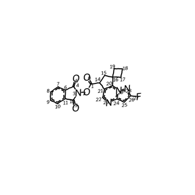 O=C(ON1C(=O)c2ccccc2C1=O)C1CC2(CCC2)c2c1cnc1cc(F)nn21